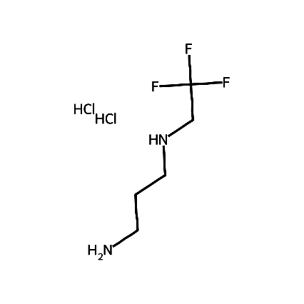 Cl.Cl.NCCCNCC(F)(F)F